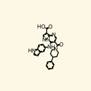 O=C(O)c1cnn2c(Nc3ccc4[nH]ccc4c3)c(C(=O)N3CCC(c4ccccc4)CC3)cnc12